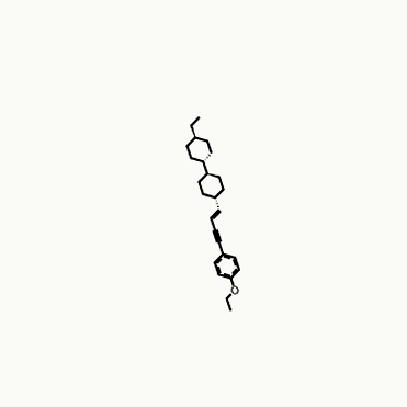 CCOc1ccc(C#CC=C[C@H]2CC[C@H]([C@H]3CC[C@H](CC)CC3)CC2)cc1